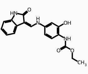 CCOC(=O)Nc1ccc(NC=C2C(=O)Nc3ccccc32)cc1O